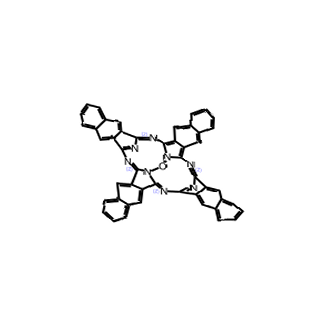 c1ccc2cc3c(cc2c1)C1=NC/3=N\c2c3cc4ccccc4cc3c3n2On2/c(c4cc5ccccc5cc4/c2=N/C2=NC(=N\3)/c3cc4ccccc4cc32)=N\1